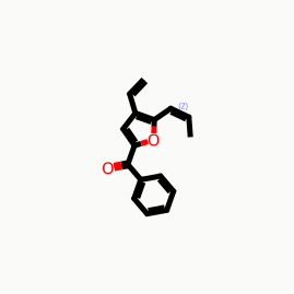 C=Cc1cc(C(=O)c2ccccc2)oc1/C=C\C